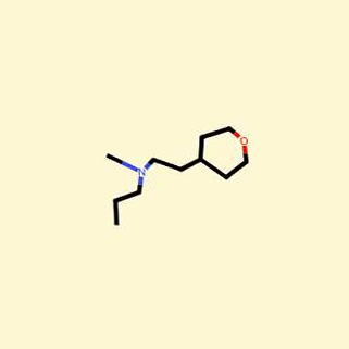 CCCN(C)CCC1CCOCC1